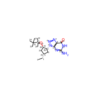 CC[C@H]1C[C@@H](n2nnc3c(=O)[nH]c(N)nc32)[C@H](O[Si](C)(C)C(C)(C)C)C1